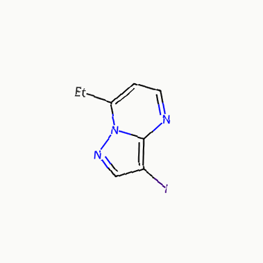 CCc1ccnc2c(I)cnn12